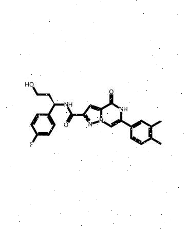 Cc1ccc(-c2cn3nc(C(=O)N[C@H](CCO)c4ccc(F)cc4)cc3c(=O)[nH]2)cc1C